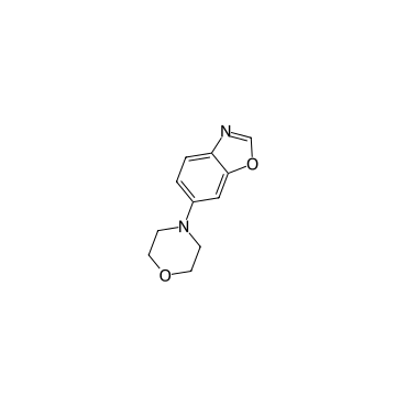 c1nc2ccc(N3CCOCC3)cc2o1